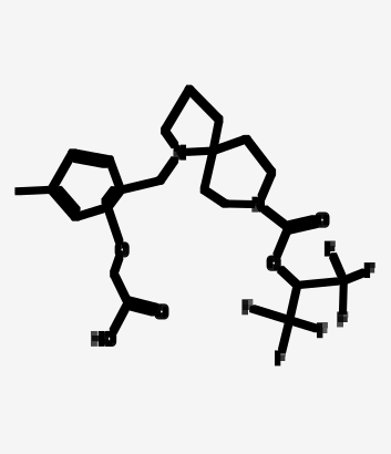 Cc1ccc(CN2CCCC23CCN(C(=O)OC(C(F)(F)F)C(F)(F)F)CC3)c(OCC(=O)O)c1